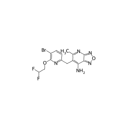 Cc1nc2nonc2c(N)c1Cc1ccc(Br)c(OCC(F)F)n1